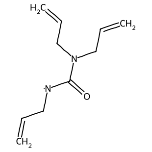 C=CC[N]C(=O)N(CC=C)CC=C